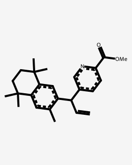 C=CC(c1ccc(C(=O)OC)nc1)c1cc2c(cc1C)C(C)(C)CCC2(C)C